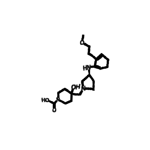 COCCC1=CCCC=C1N[C@H]1CCN(CC2(O)CCN(C(=O)O)CC2)C1